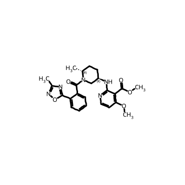 COC(=O)c1c(OC)ccnc1N[C@@H]1CC[C@@H](C)N(C(=O)c2ccccc2-c2nc(C)no2)C1